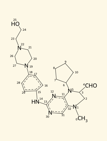 CN1CC(C=O)N(C2CCCC2)c2nc(Nc3ccc(N4CCN(CCO)CC4)cc3)ncc21